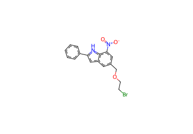 O=[N+]([O-])c1cc(COCCBr)cc2cc(-c3ccccc3)[nH]c12